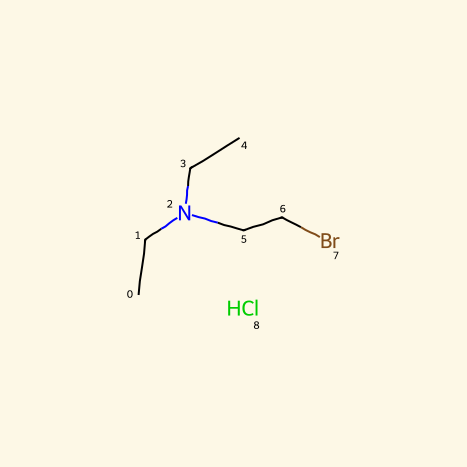 CCN(CC)CCBr.Cl